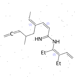 C=C=CC(C)CC(/C=C\C(=N)N/C(CC)=C(\C=C)CC)=C/C